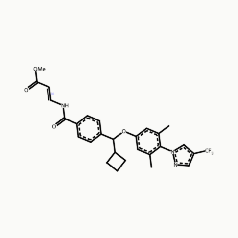 COC(=O)/C=C/NC(=O)c1ccc(C(Oc2cc(C)c(-n3cc(C(F)(F)F)cn3)c(C)c2)C2CCC2)cc1